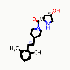 Cc1cccc(C)c1/C=C/C1CCN(C(=O)[C@@H]2C[C@@H](O)CN2)CC1